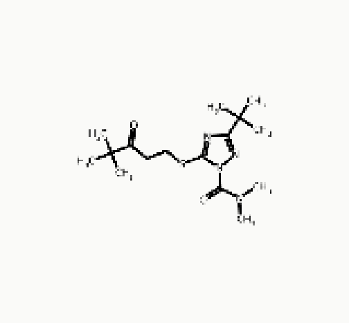 CN(C)C(=O)n1nc(C(C)(C)C)nc1SCCC(=O)C(C)(C)C